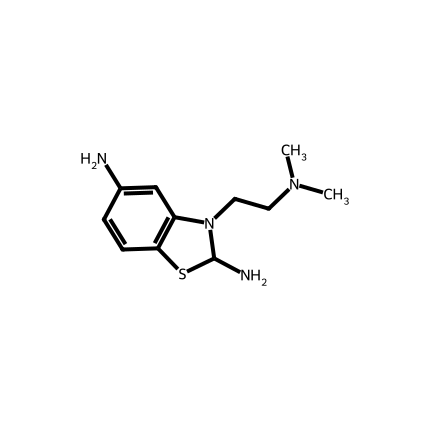 CN(C)CCN1c2cc(N)ccc2SC1N